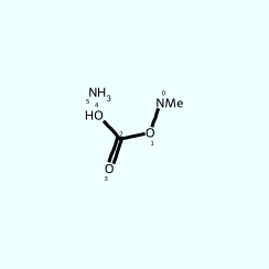 CNOC(=O)O.N